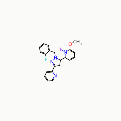 COC1=CC=CC(C2CC(c3ccccn3)=NN2Cc2ccccc2F)N1I